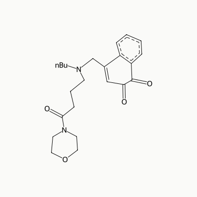 CCCCN(CCCC(=O)N1CCOCC1)CC1=CC(=O)C(=O)c2ccccc21